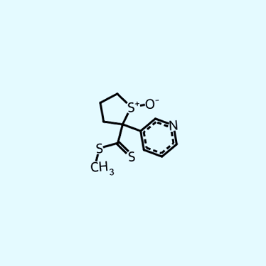 CSC(=S)C1(c2cccnc2)CCC[S+]1[O-]